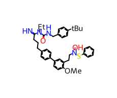 CCN(C(=N)CCCc1ccc(-c2ccc(OC)c(CCN(O)Sc3ccccc3)c2)cc1)C(=O)NCc1ccc(C(C)(C)C)cc1